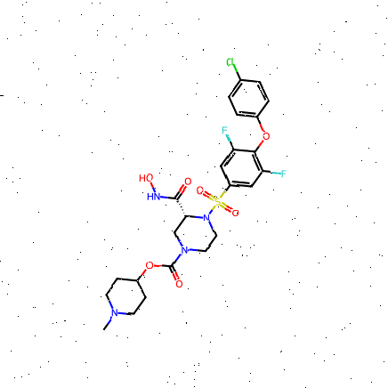 CN1CCC(OC(=O)N2CCN(S(=O)(=O)c3cc(F)c(Oc4ccc(Cl)cc4)c(F)c3)[C@@H](C(=O)NO)C2)CC1